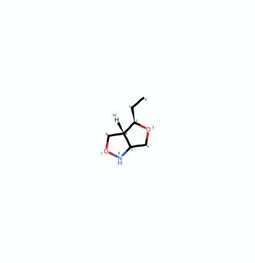 CC[C@H]1OCC2NOC[C@@H]21